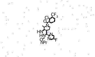 CCCOCN/C(=C1/CCN(C(=O)c2cccc(C(F)(F)F)c2Cl)C(C)C1=N)c1ncc(F)cn1